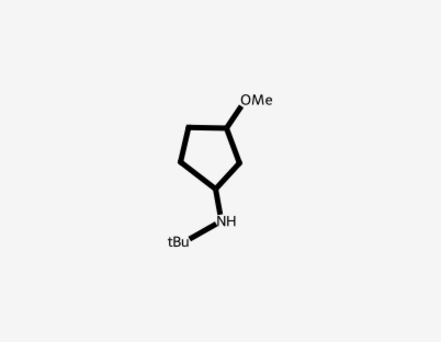 COC1CCC(NC(C)(C)C)C1